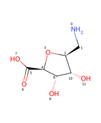 NC[C@@H]1O[C@H](C(=O)O)[C@@H](O)[C@H]1O